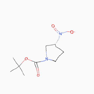 CC(C)(C)OC(=O)N1CC[C@@H]([N+](=O)[O-])C1